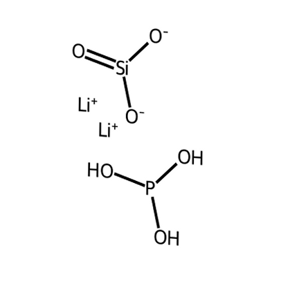 O=[Si]([O-])[O-].OP(O)O.[Li+].[Li+]